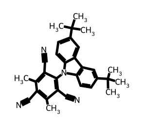 Cc1c(C#N)c(C)c(C#N)c(-n2c3ccc(C(C)(C)C)cc3c3cc(C(C)(C)C)ccc32)c1C#N